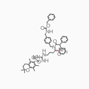 Cc1c(C)c(S(=O)(=O)NC(=N)NCCC[C@H](C(N)=O)N(Cc2ccc(CNC(=O)OCc3ccccc3)cc2)C(=O)C(c2ccccc2)c2ccccc2)c(C)c2c1OC(C)(C)CC2